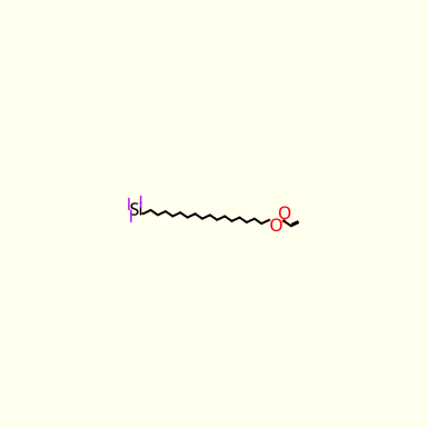 C=CC(=O)OCCCCCCCCCCCCCCCCCC[Si](I)(I)I